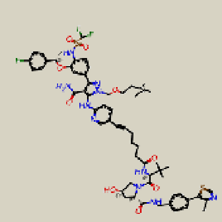 Cc1ncsc1-c1ccc(CNC(=O)[C@@H]2C[C@@H](O)CN2C(=O)[C@@H](NC(=O)CCCCC#Cc2ccc(Nc3c(C(N)=O)c(-c4ccc(NS(=O)(=O)C(F)F)c(O[C@@H](C)c5ccc(F)cc5)c4)nn3COCC[Si](C)(C)C)nc2)C(C)(C)C)cc1